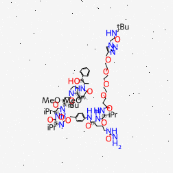 CC[C@H](C)[C@@H]([C@@H](CC(=O)N1CCC[C@H]1[C@H](OC)[C@@H](C)C(=O)NC(C)[C@@H](O)c1ccccc1)OC)N(C)C(=O)[C@@H](NC(=O)[C@H](C(C)C)N(C)C(=O)OCc1ccc(NC(=O)[C@H](CCCNC(N)=O)NC(=O)[C@@H](NC(=O)CCOCCOCCOCCOCc2cn(CC(=O)NCC(C)(C)C)nn2)C(C)C)cc1)C(C)C